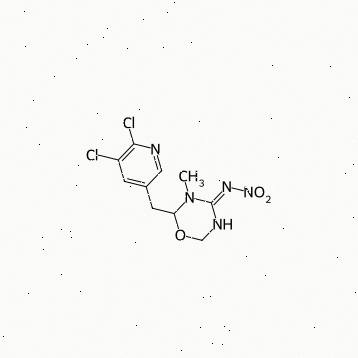 CN1C(=N[N+](=O)[O-])NCOC1Cc1cnc(Cl)c(Cl)c1